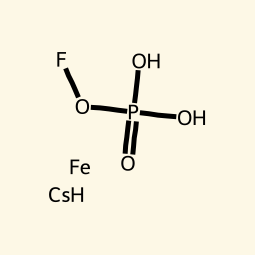 O=P(O)(O)OF.[CsH].[Fe]